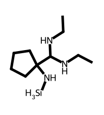 CCNC(NCC)C1(N[SiH3])CCCC1